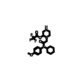 COc1ccc(N(C(=O)CN2CCNCC2OC(=O)C(F)(F)F)C2CCCCC2)cc1